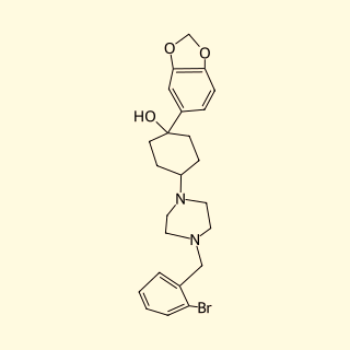 OC1(c2ccc3c(c2)OCO3)CCC(N2CCN(Cc3ccccc3Br)CC2)CC1